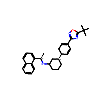 C[C@@H](NC1CCC[C@H](C2C=CC(c3noc(C(C)(C)C)n3)=CC2)C1)c1cccc2ccccc12